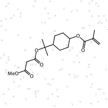 C=C(C)C(=O)OC1CCC(C(C)(C)OC(=O)CC(=O)OC)CC1